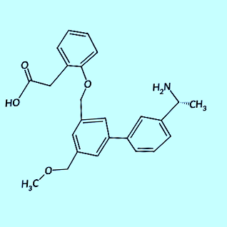 COCc1cc(COc2ccccc2CC(=O)O)cc(-c2cccc([C@@H](C)N)c2)c1